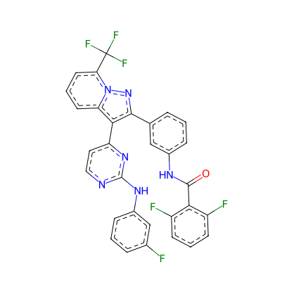 O=C(Nc1cccc(-c2nn3c(C(F)(F)F)cccc3c2-c2ccnc(Nc3cccc(F)c3)n2)c1)c1c(F)cccc1F